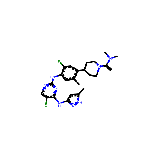 C=C(N(C)C)N1CCC(c2cc(F)c(Nc3ncc(Cl)c(Nc4cc(C)[nH]n4)n3)cc2C)CC1